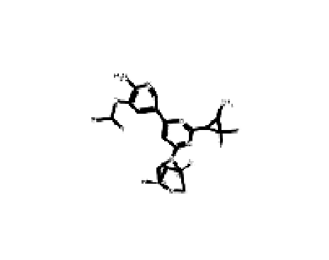 CC1C(c2nc(-c3cnc(N)c(OC(F)F)c3)cc(N3C[C@@H]4C[C@H]3CO4)n2)C1(F)F